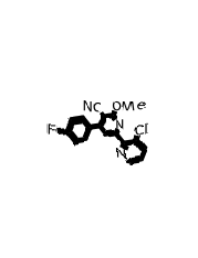 COc1nc(-c2ncccc2Cl)cc(-c2ccc(F)cc2)c1C#N